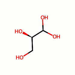 OC[C@@H](O)C(O)O